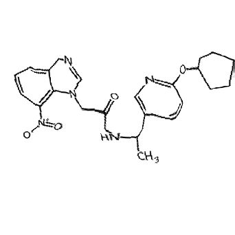 CC(NC(=O)Cn1cnc2cccc([N+](=O)[O-])c21)c1ccc(OC2CCCC2)nc1